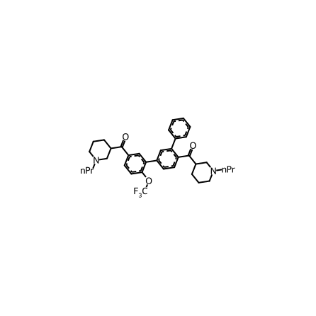 CCCN1CCCC(C(=O)c2ccc(OC(F)(F)F)c(-c3ccc(C(=O)C4CCCN(CCC)C4)c(-c4ccccc4)c3)c2)C1